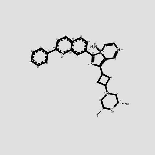 C[C@@H]1CN(C2CC(C3=C4C=NC=C[N+]4(N)C(c4ccc5ccc(-c6ccccc6)nc5c4)=N3)C2)C[C@H](C)O1